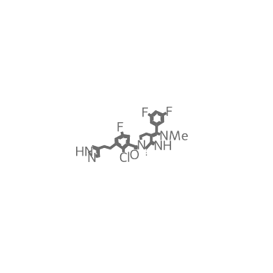 CN/C(=C1/CCN(C(=O)c2cc(F)cc(CCc3cn[nH]c3)c2Cl)[C@@H](C)C1=N)c1cc(F)cc(F)c1